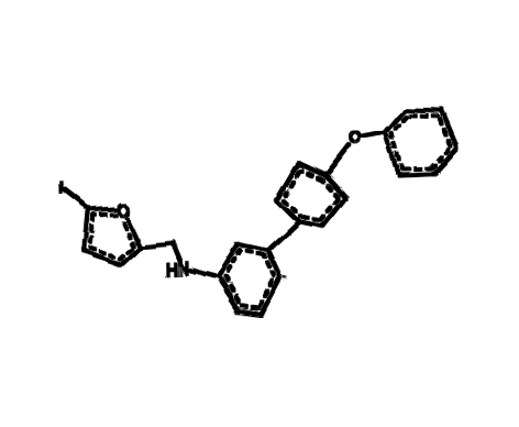 Ic1ccc(CNc2cc[c]c(-c3ccc(Oc4ccccc4)cc3)c2)o1